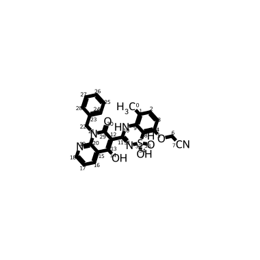 Cc1ccc(OCC#N)c2c1NC(c1c(O)c3cccnc3n(Cc3ccccc3)c1=O)=NS2(O)O